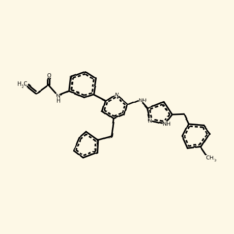 C=CC(=O)Nc1cccc(-c2cc(Cc3ccccc3)cc(Nc3cc(Cc4ccc(C)cc4)[nH]n3)n2)c1